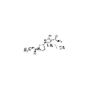 C=CC(=O)N1CC[C@H](n2nc(Br)c(C(N)=O)c2NCCO)C1